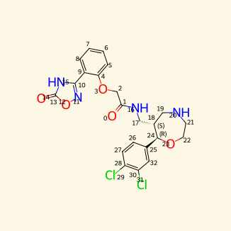 O=C(COc1ccccc1-c1noc(=O)[nH]1)NC[C@@H]1CNCCO[C@H]1c1ccc(Cl)c(Cl)c1